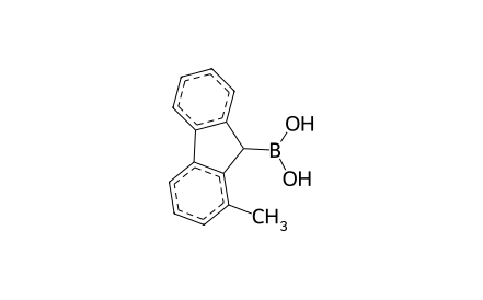 Cc1cccc2c1C(B(O)O)c1ccccc1-2